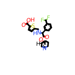 O=C(O)c1ccc(CNC(C(=O)O[C@H]2CN3CCC2CC3)c2cccc(C(F)F)c2)s1